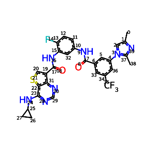 Cc1cn(-c2cc(C(=O)Nc3ccc(F)c(NC(=O)c4csc5c(NC6CC6)ncnc45)c3)cc(C(F)(F)F)c2)c(C)n1